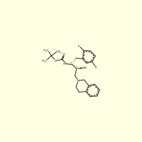 CC(C)(C)OC(=O)N[C@H](Cc1cc(F)ccc1F)[C@@H](O)CN1CCc2ccccc2C1